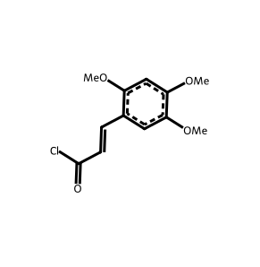 COc1cc(OC)c(OC)cc1/C=C/C(=O)Cl